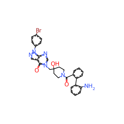 Nc1ccccc1-c1ccccc1C(=O)N1CCC(O)(Cn2cnc3c(cnn3-c3ccc(Br)cc3)c2=O)CC1